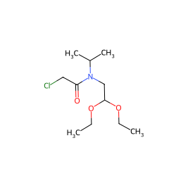 CCOC(CN(C(=O)CCl)C(C)C)OCC